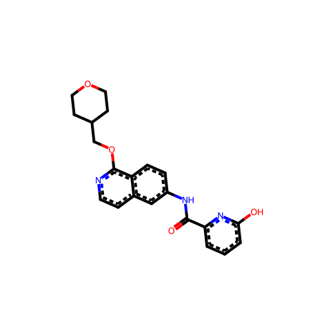 O=C(Nc1ccc2c(OCC3CCOCC3)nccc2c1)c1cccc(O)n1